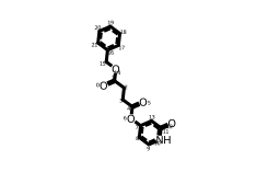 O=C(CCC(=O)Oc1cc[nH]c(=O)c1)OCc1ccccc1